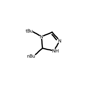 CCCCC1NN=CN1C(C)(C)C